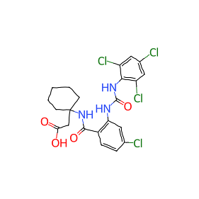 O=C(O)CC1(NC(=O)c2ccc(Cl)cc2NC(=O)Nc2c(Cl)cc(Cl)cc2Cl)CCCCC1